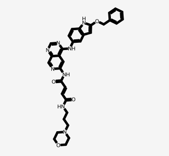 O=C(/C=C/C(=O)Nc1cc2c(Nc3ccc4[nH]c(OCc5ccccc5)cc4c3)ncnc2cn1)NCCCN1CCOCC1